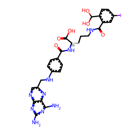 Nc1nc(N)c2nc(CNc3ccc(C(=O)N[C@@H](CCCNC(=O)c4cc(I)ccc4C(O)O)C(=O)O)cc3)cnc2n1